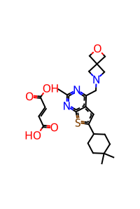 Cc1nc(CN2CC3(COC3)C2)c2cc(C3CCC(C)(C)CC3)sc2n1.O=C(O)/C=C/C(=O)O